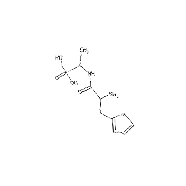 CC(NC(=O)C(N)Cc1cccs1)P(=O)(O)O